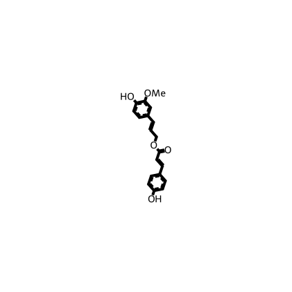 COc1cc(C=CCOC(=O)C=Cc2ccc(O)cc2)ccc1O